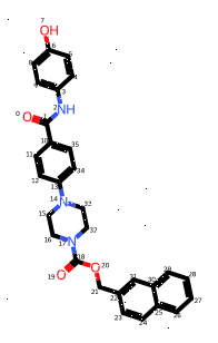 O=C(Nc1ccc(O)cc1)c1ccc(N2CCN(C(=O)OCc3ccc4ccccc4c3)CC2)cc1